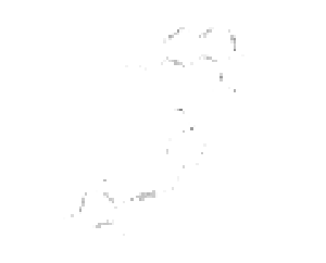 COc1ccc2ncc(C)c([C@@H](F)CCC3(CO)CCN(CC#Cc4c(F)cc(F)cc4F)CC3)c2c1